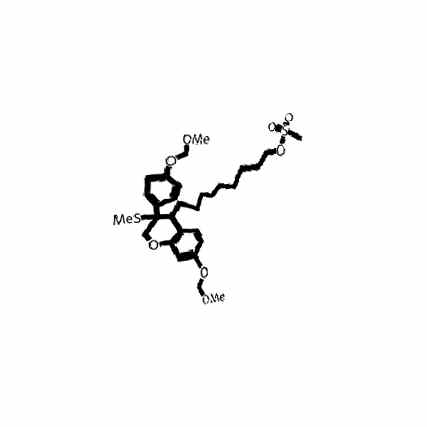 COCOc1ccc(C2(SC)COc3cc(OCOC)ccc3C2CCCCCCCCCOS(C)(=O)=O)cc1